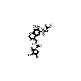 CCNC(=S)NS(=O)(=O)c1cc2c(cc1OC)OCCC2CNC(=O)N1CC(C)=C(CC)C1=O